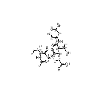 CC[C@H](C)[C@H](NC(C)=O)C(=O)N[C@@H](CCC(=O)O)C(=O)N[C@H](C(=O)N[C@H](C=O)CC(=O)O)[C@@H](C)O